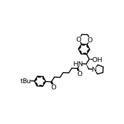 CC(C)(C)c1ccc(C(=O)CCCCCC(=O)N[C@H](CN2CCCC2)[C@H](O)c2ccc3c(c2)OCCO3)cc1